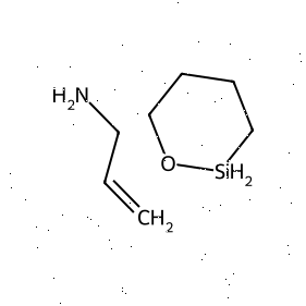 C1CC[SiH2]OC1.C=CCN